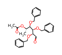 CC(=O)O[C@@H](C)[C@@H](OCc1ccccc1)[C@@H](OCc1ccccc1)[C@@H](C=O)OCc1ccccc1